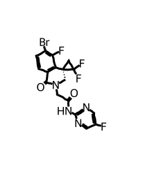 O=C(CN1C[C@@]2(CC2(F)F)c2c(ccc(Br)c2F)C1=O)Nc1ncc(F)cn1